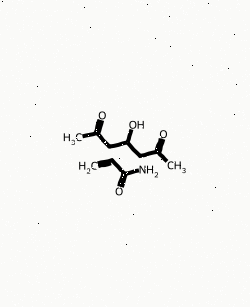 C=CC(N)=O.CC(=O)CC(O)CC(C)=O